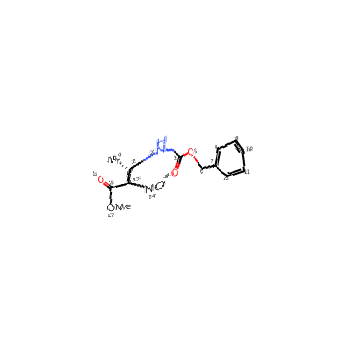 CCC[C@H](NC(=O)OCc1ccccc1)C(N=O)C(=O)OC